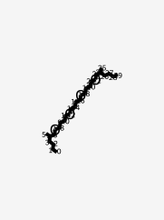 CCCCC(C)COCCCCOCCCCOCCCCOCC(C)CCCC